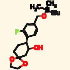 CC(C)(C)[Si](C)(C)OCc1ccc(C2CCC3(CC2O)OCCO3)c(F)c1